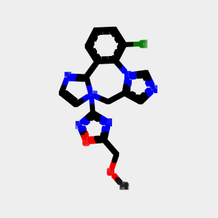 CCOCc1nc([N+]23C=CN=C2c2cccc(Cl)c2-n2cncc2C3)no1